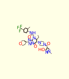 CCc1c(N2CCN(C(=O)c3cn(C)nc3O)CC2)c(=O)n2nc(C3=CCOCC3)nc2n1CC(=O)Nc1ccc(C(F)(F)F)cc1C